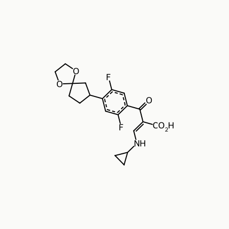 O=C(O)C(=CNC1CC1)C(=O)c1cc(F)c(C2CCC3(C2)OCCO3)cc1F